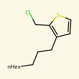 CCCCCCCCCc1ccsc1CCl